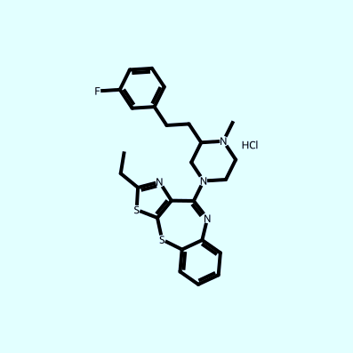 CCc1nc2c(s1)Sc1ccccc1N=C2N1CCN(C)C(CCc2cccc(F)c2)C1.Cl